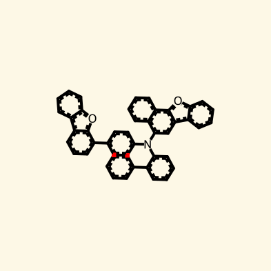 c1ccc(-c2ccccc2N(c2ccc(-c3cccc4c3oc3ccccc34)cc2)c2cc3c4ccccc4oc3c3ccccc23)cc1